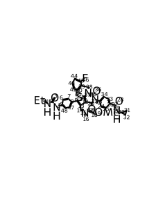 CCNC(=O)Nc1ccc(-c2sc3c(c2CN(C)CCOC)c(=O)n(-c2ccc(C(=O)NC4CC4)cc2)c(=O)n3Cc2c(F)cccc2F)cc1